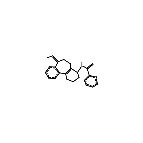 C=C(NC1CCCC2=C1CC/C(=C/C)c1ccccc12)c1ccccn1